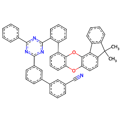 CC1(C)c2ccccc2-c2c1ccc1c2Oc2c(cccc2-c2ccccc2-c2nc(-c3ccccc3)nc(-c3cccc(-c4cccc(C#N)c4)c3)n2)O1